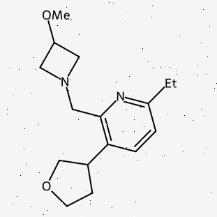 CCc1ccc(C2CCOC2)c(CN2CC(OC)C2)n1